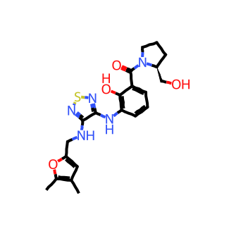 Cc1cc(CNc2nsnc2Nc2cccc(C(=O)N3CCC[C@H]3CO)c2O)oc1C